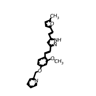 COc1cc(OCc2ccccn2)ccc1C=Cc1cc(C=Cc2ccc(C)o2)[nH]n1